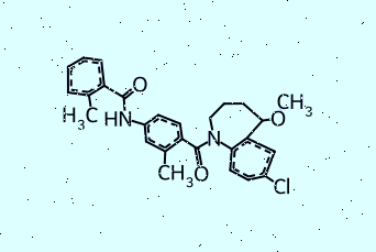 COC1CCCN(C(=O)c2ccc(NC(=O)c3ccccc3C)cc2C)c2ccc(Cl)cc21